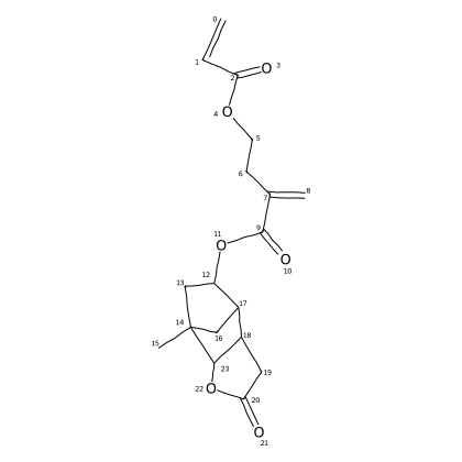 C=CC(=O)OCCC(=C)C(=O)OC1CC2(C)CC1C1CC(=O)OC12